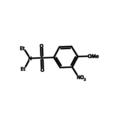 CCN(CC)S(=O)(=O)c1ccc(OC)c([N+](=O)[O-])c1